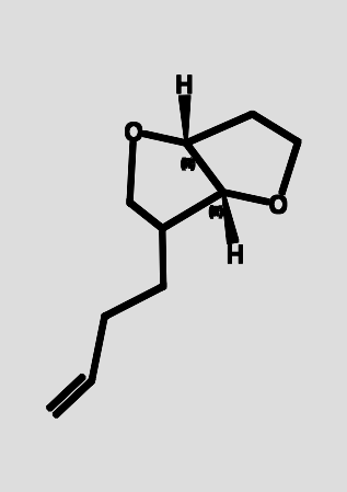 C=CCCC1CO[C@@H]2CCO[C@H]12